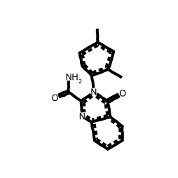 Cc1ccc(-n2c(C(N)=O)nc3ccccc3c2=O)c(C)c1